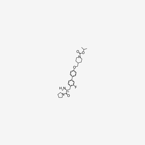 CC(C)OC(=O)N1CCC(COc2ccc(-c3ccc(C[C@H](N)C(=O)N4CCCC4)c(F)c3)cc2)CC1